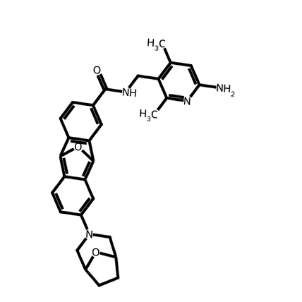 Cc1cc(N)nc(C)c1CNC(=O)c1ccc2c(c1)c1oc2c2ccc(N3CC4CCC(C3)O4)cc21